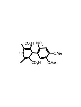 COc1cc(C2C(C(=O)O)=C(C)NC(C)=C2C(=O)O)c([N+](=O)[O-])cc1OC